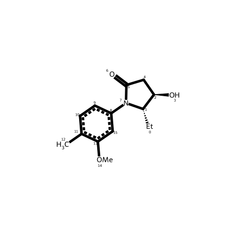 CC[C@H]1[C@H](O)CC(=O)N1c1ccc(C)c(OC)c1